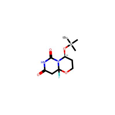 CC(C)(C)[Si](C)(C)O[C@H]1CCOC2(F)CC(=O)NC(=O)N12